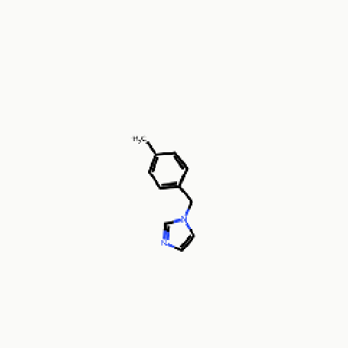 [CH2]c1ccc(Cn2ccnc2)cc1